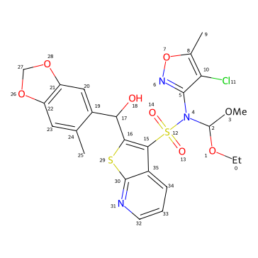 CCOC(OC)N(c1noc(C)c1Cl)S(=O)(=O)c1c(C(O)c2cc3c(cc2C)OCO3)sc2ncccc12